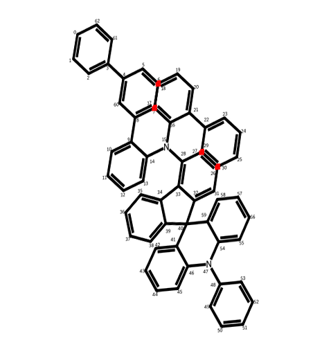 c1ccc(-c2cccc(-c3ccccc3N(c3ccccc3-c3ccccc3)c3cccc4c3-c3ccccc3C43c4ccccc4N(c4ccccc4)c4ccccc43)c2)cc1